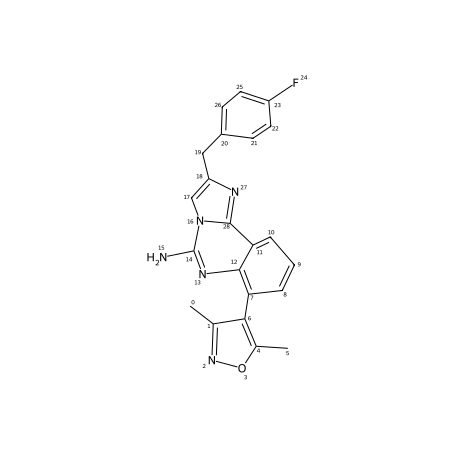 Cc1noc(C)c1-c1cccc2c1nc(N)n1cc(Cc3ccc(F)cc3)nc21